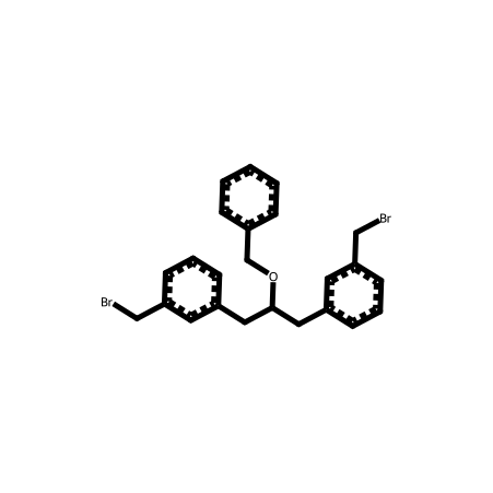 BrCc1cccc(CC(Cc2cccc(CBr)c2)OCc2ccccc2)c1